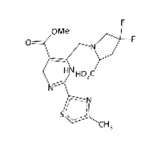 COC(=O)C1=C(CN2CC(F)(F)CC2C(=O)O)NC(c2nc(C)cs2)=NC1